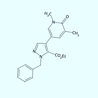 CCOC(=O)c1c(-c2cc(C)c(=O)n(C)c2)cnn1Cc1ccccc1